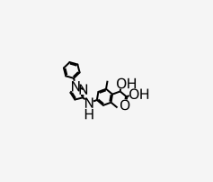 Cc1cc(Nc2ccn(-c3ccccc3)n2)cc(C)c1C(O)C(=O)O